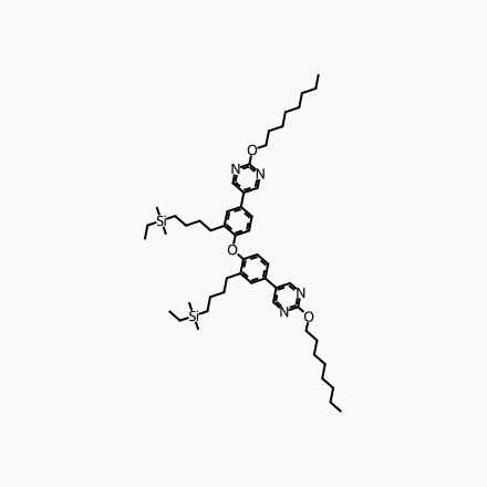 CCCCCCCCOc1ncc(-c2ccc(Oc3ccc(-c4cnc(OCCCCCCCC)nc4)cc3CCCC[Si](C)(C)CC)c(CCCC[Si](C)(C)CC)c2)cn1